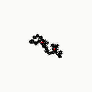 c1ccc(-c2cccc(-c3cccc(N(c4ccc(-c5cccc(-c6ccc7ccccc7c6)c5)cc4)c4ccc(-c5ccccc5-n5c6ccccc6c6ccc(-c7ccc8cc(-c9cccc(-c%10ccc(N(c%11ccc(-c%12ccccc%12-c%12ccccc%12)cc%11)c%11ccc(-c%12ccccc%12-n%12c%13ccccc%13c%13ccccc%13%12)cc%11)cc%10)c9)ccc8c7)cc65)cc4)c3)c2)cc1